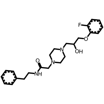 O=C(CN1CCN(CC(O)COc2ccccc2F)CC1)NCCc1ccccc1